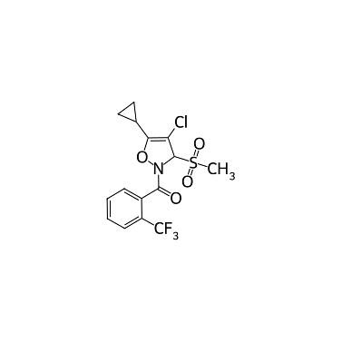 CS(=O)(=O)C1C(Cl)=C(C2CC2)ON1C(=O)c1ccccc1C(F)(F)F